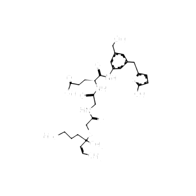 C/C=C\C(C)(CCCC)SCC(=O)NCC(=O)N[C@@H](CCC(=O)O)C(=O)Nc1cc(CO)cc(Cc2ccc(C)s2)c1